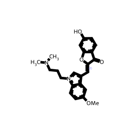 COc1ccc2c(c1)c(/C=C1\Oc3cc(O)c[c]c3C1=O)cn2CCCN(C)C